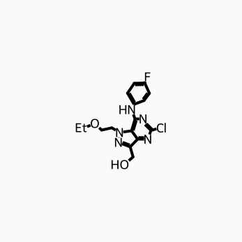 CCOCCn1nc(CO)c2nc(Cl)nc(Nc3ccc(F)cc3)c21